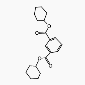 O=C(OC1CCCCC1)c1cccc(C(=O)OC2CCCCC2)c1